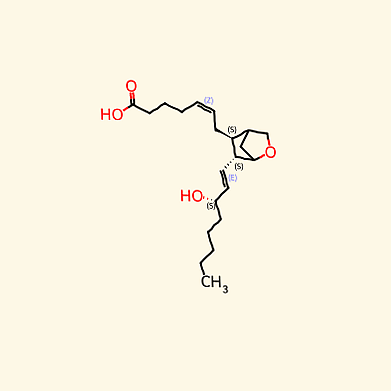 CCCCC[C@H](O)/C=C/[C@H]1C2CC(CO2)[C@@H]1C/C=C\CCCC(=O)O